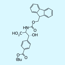 CC(C)(C)OC(=O)c1ccc([C@@H](O)C(NC(=O)OCC2c3ccccc3-c3ccccc32)C(=O)O)cc1